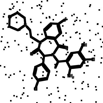 CC(c1cc(O)c(Cl)cc1N)N1C(=O)c2cc(I)ccc2N(CCN2CCOCC2)C(=O)C1c1ccc(Cl)cc1